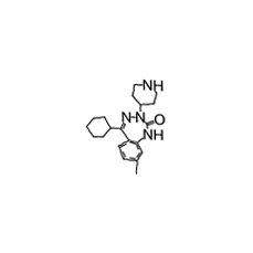 Cc1ccc2c(c1)NC(=O)N(C1CCNCC1)N=C2C1CCCCC1